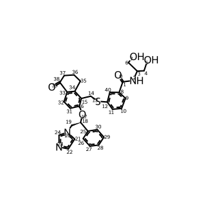 O=C(NC(CO)CO)c1cccc(SCc2c(O[C@H](Cn3ccnc3)c3ccccc3)ccc3c2CCCC3=O)c1